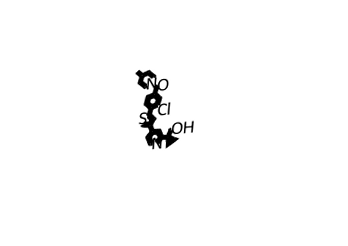 CC1CCN(C(=O)c2ccc(-c3cc(-c4ccnc(C5(CO)CC5)c4)cs3)c(Cl)c2)CC1